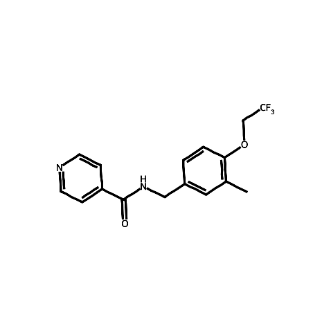 Cc1cc(CNC(=O)c2ccncc2)ccc1OCC(F)(F)F